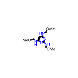 COCNc1cc(NCOC)nc(NCOC)n1